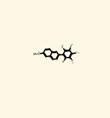 COc1ccc2cc(-c3c(F)c(F)c(F)c(F)c3F)ccc2c1